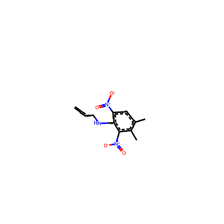 C=CCNc1c([N+](=O)[O-])cc(C)c(C)c1[N+](=O)[O-]